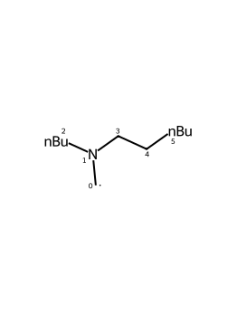 [CH2]N(CCCC)CCCCCC